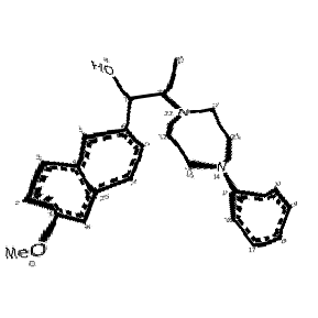 COc1ccc2cc(C(O)C(C)N3CCN(c4ccccc4)CC3)ccc2c1